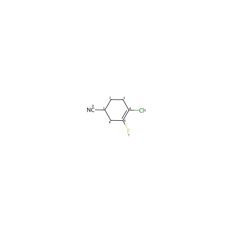 N#CC1CCC(Cl)=C(F)C1